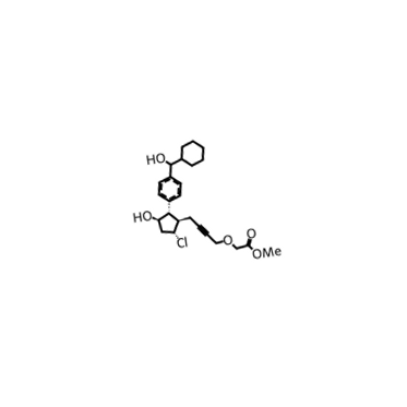 COC(=O)COCC#CC[C@@H]1[C@@H](c2ccc(C(O)C3CCCCC3)cc2)[C@H](O)C[C@H]1Cl